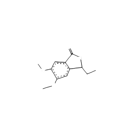 CCC1NC(=O)c2cc(OC)c(OC)cc21